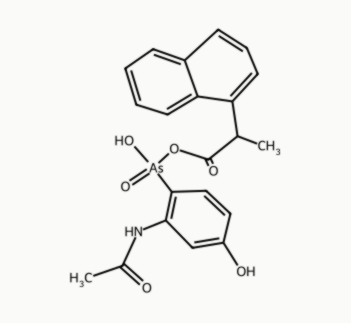 CC(=O)Nc1cc(O)ccc1[As](=O)(O)OC(=O)C(C)c1cccc2ccccc12